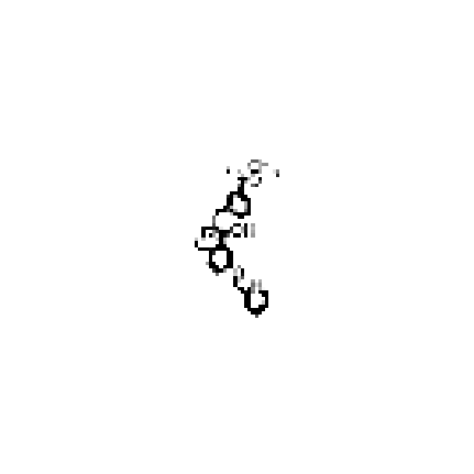 COC(=O)c1cccc(C[C@H]2COc3ccc(OCc4ccccn4)cc3[C@@H]2O)c1